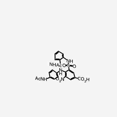 CC(=O)Nc1ccc(Nc2c([N+](=O)[O-])cc(C(=O)O)cc2S(=O)(=O)Nc2ccccc2NC(C)=O)cc1